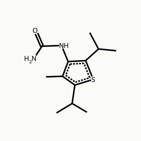 Cc1c(C(C)C)sc(C(C)C)c1NC(N)=O